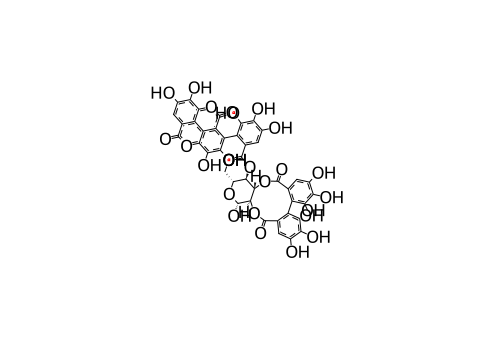 O=C1O[C@@H]2[C@@H](OC(=O)c3cc(O)c(O)c(O)c3-c3c1cc(O)c(O)c3O)[C@H](O)O[C@H](CO)[C@H]2OC(=O)c1cc(O)c(O)c(O)c1-c1c(O)c(O)c2oc(=O)c3cc(O)c(O)c4oc(=O)c1c2c43